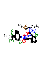 CCSC[C@H](C)NC(=O)c1c(Br)cccc1C(=O)Nc1ccc(C(F)(C(F)F)C(F)(F)F)cc1Br